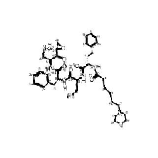 CC(C)CC(NC(=O)[C@H](CCc1ccccc1)NC(=O)CCCCCN1CCOCC1)C(=O)N[C@@H](Cc1ccccc1)C(=O)NC(CC(C)C)C(=O)[C@@]1(C)CO1